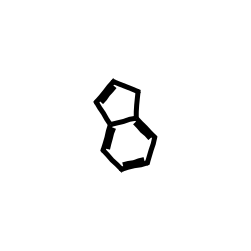 [C]1=Cc2c[c]ccc2C1